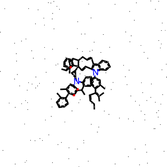 C/C=C\C=C/C1C/C=C/c2c(n(-c3ccc(C(/C=C\CC)=C(C)C)c(C)c3)c3ccccc23)/C=C/C1(C1=CC1N(c1ccc(-c2ccccc2C)c(C)c1)c1ccccc1C(C)CC)c1ccccc1C